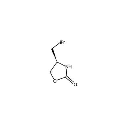 CC(C)C[C@@H]1COC(=O)N1